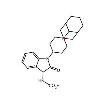 O=C(O)NC1C(=O)N(C2CCN(C3C4CCCC3CCC4)CC2)c2ccccc21